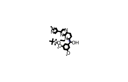 COc1cc(OC)cc(/C(O)=C2/C=Cc3ncc(-c4cnn(C)c4)nc3N2CCO[Si](C)(C)C(C)(C)C)c1